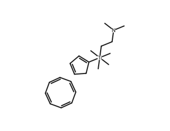 C1=CC=CC=CC=C1.CN(C)C[CH2][Ti]([CH3])([CH3])([CH3])([CH3])[C]1=CC=CC1